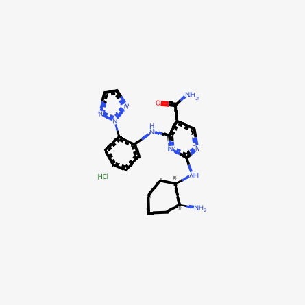 Cl.NC(=O)c1cnc(N[C@@H]2CCCC[C@@H]2N)nc1Nc1ccccc1-n1nccn1